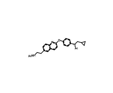 CC(=O)NCCc1ccc2nc(Oc3ccc(N(CC4CC4)C(C)=O)cc3)ccc2c1